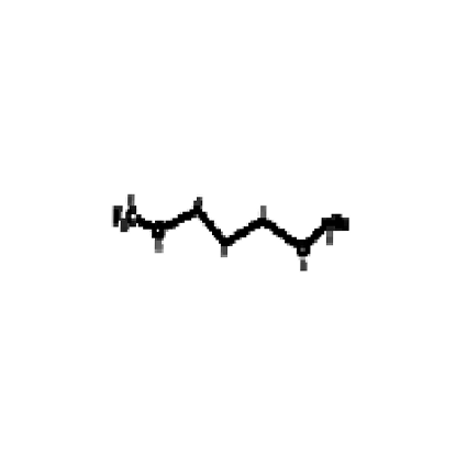 CCCCOCCCOC(F)(F)F